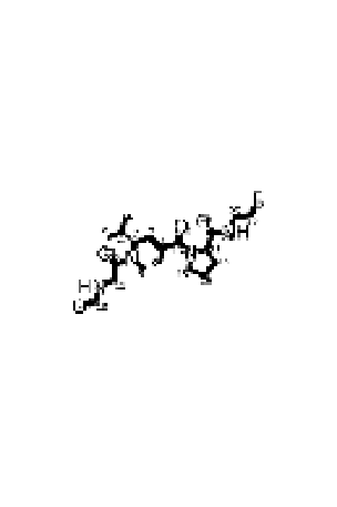 C/C(=C\[C@H](C(C)C)N(C)C(=O)CNC=O)C(=O)N1CCCC1C(=O)NCCF